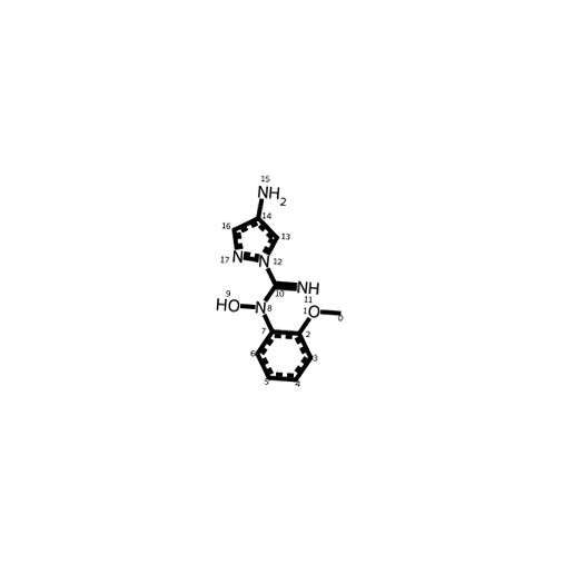 COc1ccccc1N(O)C(=N)n1cc(N)cn1